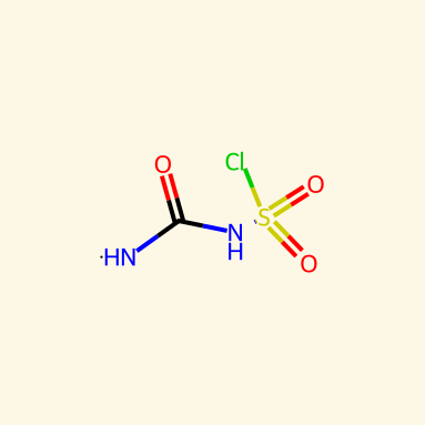 [NH]C(=O)NS(=O)(=O)Cl